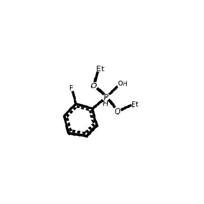 CCO[PH](O)(OCC)c1ccccc1F